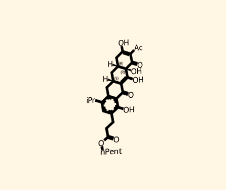 CCCCCOC(=O)CCc1cc(C(C)C)c2c(c1O)C(=O)C1=C(O)[C@@]3(O)C(=O)C(C(C)=O)=C(O)C[C@H]3C[C@H]1C2